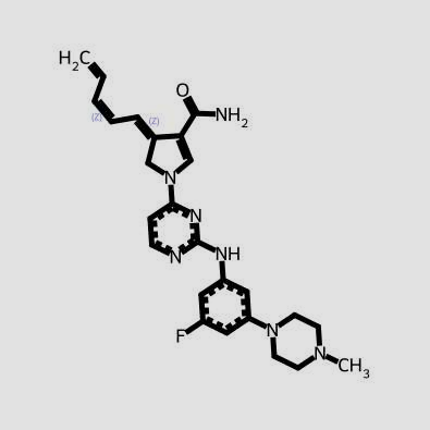 C=C/C=C\C=C1/CN(c2ccnc(Nc3cc(F)cc(N4CCN(C)CC4)c3)n2)C=C1C(N)=O